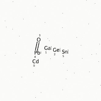 [Cd].[Ga].[Ge].[O]=[Pb].[Sn]